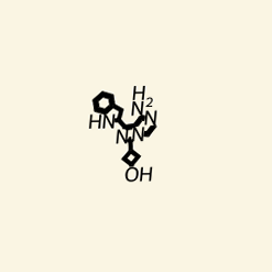 Nc1nccn2c(C3CC(O)C3)nc(C3Cc4ccccc4N3)c12